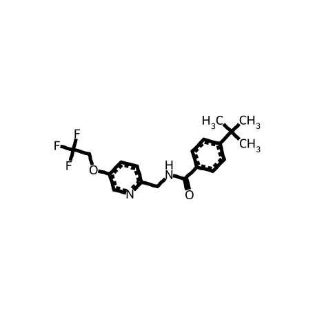 CC(C)(C)c1ccc(C(=O)NCc2ccc(OCC(F)(F)F)cn2)cc1